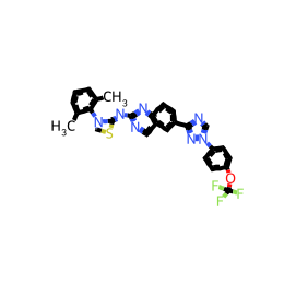 Cc1cccc(C)c1N1CSC1=Nc1ncc2cc(-c3ncn(-c4ccc(OC(F)(F)F)cc4)n3)ccc2n1